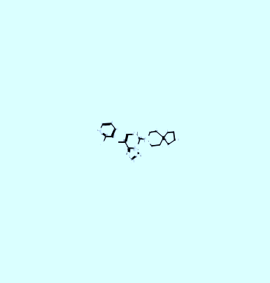 Cc1ncccc1Sc1cnc(N2CCC3(CCCC3)CC2)n2ncnc12